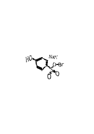 O=S(=O)(OBr)c1ccc(O)cc1.[NaH]